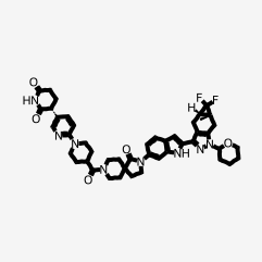 C[C@@]12Cc3c(c(-c4cc5ccc(N6CCC7(CCN(C(=O)C8CCN(c9ccc([C@H]%10CCC(=O)NC%10=O)cn9)CC8)CC7)C6=O)cc5[nH]4)nn3C3CCCCO3)C[C@@H]1C2(F)F